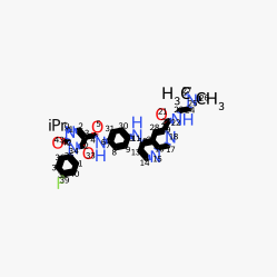 CC(C)n1cc(C(=O)Nc2ccc(Nc3ccnc4cnc(C(=O)NCCN(C)C)cc34)cc2)c(=O)n(-c2ccc(F)cc2)c1=O